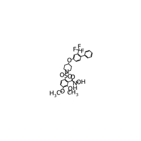 COc1ccc(S(=O)(=O)N2CCC(Oc3ccc(-c4ccccc4)c(C(F)(F)F)c3)CC2)c(C(=O)NO)c1OC